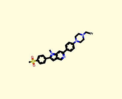 CC(C)CN1CCN(c2ccc(-c3cc4c(cn3)cc(-c3ccc(S(C)(=O)=O)cc3)n4C)cc2)CC1